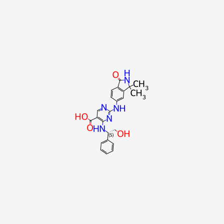 CC1(C)NC(=O)c2ccc(Nc3ncc(C(=O)O)c(N[C@H](CO)c4ccccc4)n3)cc21